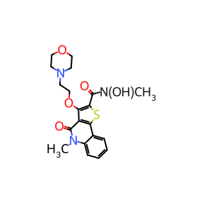 CN(O)C(=O)c1sc2c(c1OCCN1CCOCC1)c(=O)n(C)c1ccccc21